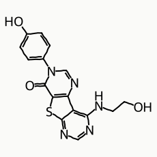 O=c1c2sc3ncnc(NCCO)c3c2ncn1-c1ccc(O)cc1